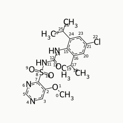 COc1cncnc1S(=O)(=O)NC(=O)Nc1c(C(C)C)cc(Cl)cc1C(C)C